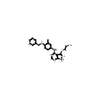 Cc1cc(Nc2ncnc3[nH]nc(OCCO)c23)ccc1OCc1ccccc1